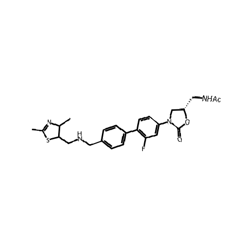 CC(=O)NC[C@H]1CN(c2ccc(-c3ccc(CNCC4SC(C)=NC4C)cc3)c(F)c2)C(=O)O1